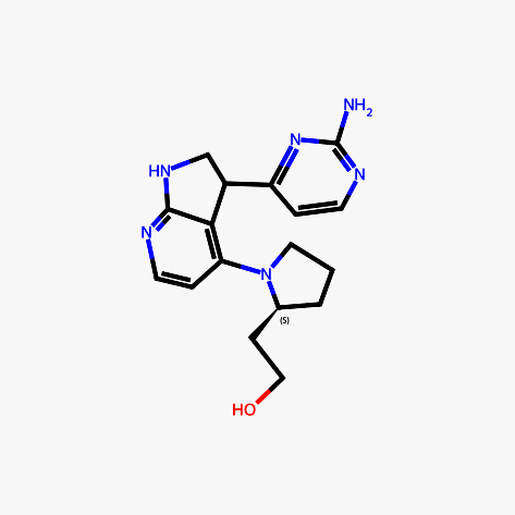 Nc1nccc(C2CNc3nccc(N4CCC[C@H]4CCO)c32)n1